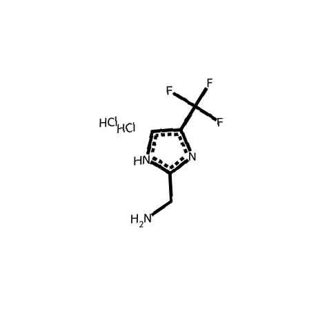 Cl.Cl.NCc1nc(C(F)(F)F)c[nH]1